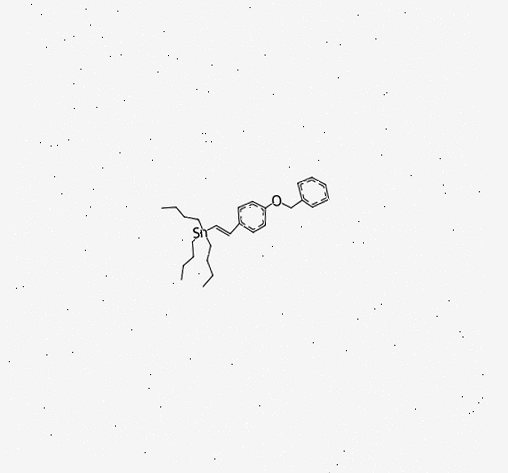 CCC[CH2][Sn]([CH]=Cc1ccc(OCc2ccccc2)cc1)([CH2]CCC)[CH2]CCC